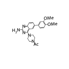 COc1ccc(-c2ccc3nc(N)nc(N4CCN(C(C)=O)CC4)c3c2)cc1OC